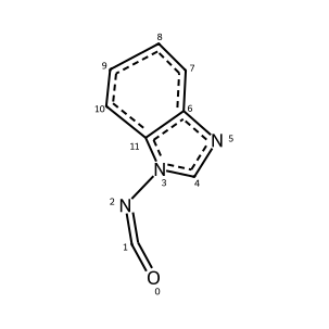 O=C=Nn1cnc2ccccc21